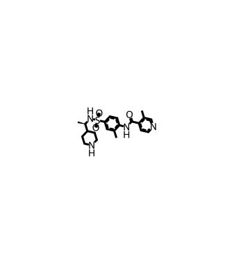 Cc1cc(S(=O)(=O)N[C@H](C)C2CCNCC2)ccc1NC(=O)c1ccncc1C